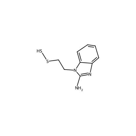 Nc1nc2ccccc2n1CCSS